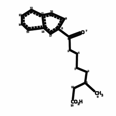 CC(CCCCC(=O)c1ccc2ccccc2c1)CC(=O)O